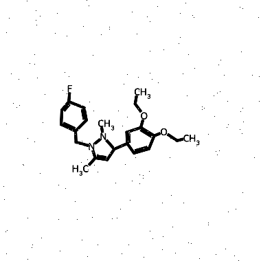 CCOc1ccc(C2C=C(C)N(Cc3ccc(F)cc3)N2C)cc1OCC